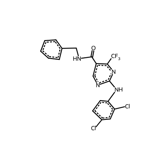 O=C(NCc1ccccc1)c1cnc(Nc2ccc(Cl)cc2Cl)nc1C(F)(F)F